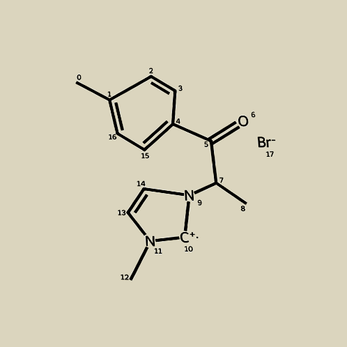 Cc1ccc(C(=O)C(C)N2[C+]N(C)C=C2)cc1.[Br-]